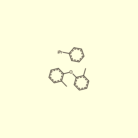 CC(C)c1ccccc1.Cc1ccccc1Oc1ccccc1C